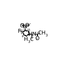 CC(=O)NC(C)c1ccc(F)c([N+](=O)[O-])c1